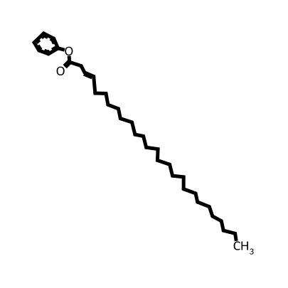 CCCCCCCCCCCCCCCCCCCCCCCC=CCC(=O)Oc1ccccc1